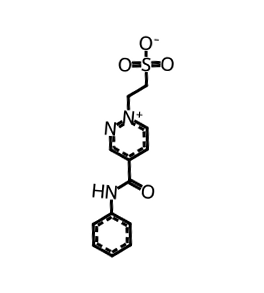 O=C(Nc1ccccc1)c1cc[n+](CCS(=O)(=O)[O-])nc1